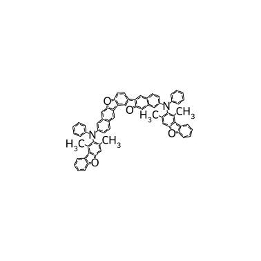 Cc1cc2oc3ccccc3c2c(C)c1N(c1ccccc1)c1ccc2cc3c(cc2c1)oc1c3ccc2oc3cc4cc(N(c5ccccc5)c5c(C)cc6oc7ccccc7c6c5C)ccc4cc3c21